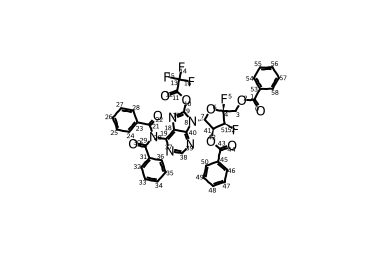 O=C(OC[C@@]1(F)O[C@@H](n2c(OC(=O)C(F)(F)F)nc3c(N(C(=O)c4ccccc4)C(=O)c4ccccc4)ncnc32)[C@H](OC(=O)c2ccccc2)[C@@H]1F)c1ccccc1